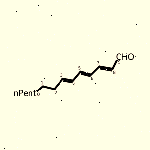 CCCCCCCC=CC=CC=C[C]=O